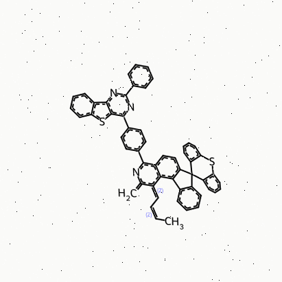 C=c1nc(-c2ccc(-c3nc(-c4ccccc4)nc4c3sc3ccccc34)cc2)c2ccc3c(c2/c1=C/C=C\C)-c1ccccc1C31c2ccccc2Sc2ccccc21